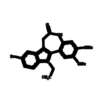 COc1cc2c(cc1OC)-c1c(c3cc(Br)ccc3n1CC(=O)O)CC(=O)N2